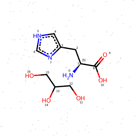 N[C@@H](Cc1c[nH]cn1)C(=O)O.OCC(O)CO